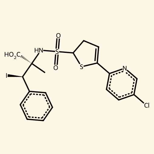 C[C@@](NS(=O)(=O)C1CC=C(c2ccc(Cl)cn2)S1)(C(=O)O)[C@H](I)c1ccccc1